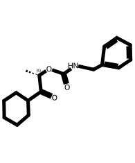 C[C@H](OC(=O)NCc1ccccc1)C(=O)C1CCCCC1